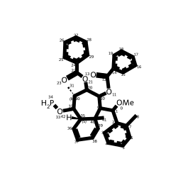 COC(c1ccccc1C)C1C(OC(=O)c2ccccc2)C(OC(=O)c2ccccc2)[C@@H](C)C(OP)[C@H]2C=CC=CC12C